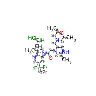 CCCC(F)(F)c1cnc2c(c1)N(C(=O)CN1C[C@@H](C)NC[C@@H]1CN1CC(C)OC(C)C1)CC2(C)C.Cl.Cl